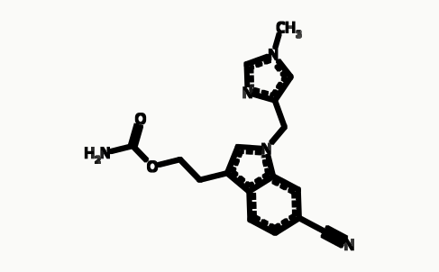 Cn1cnc(Cn2cc(CCOC(N)=O)c3ccc(C#N)cc32)c1